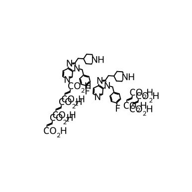 Fc1ccc(Cn2c(CC3CCNCC3)nc3ccncc32)cc1.Fc1ccc(Cn2c(CC3CCNCC3)nc3ccncc32)cc1.O=C(O)C=CC(=O)O.O=C(O)C=CC(=O)O.O=C(O)C=CC(=O)O.O=C(O)C=CC(=O)O.O=C(O)C=CC(=O)O